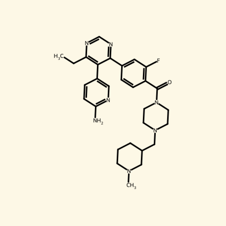 CCc1ncnc(-c2ccc(C(=O)N3CCN(CC4CCCN(C)C4)CC3)c(F)c2)c1-c1ccc(N)nc1